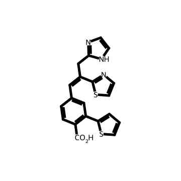 O=C(O)c1ccc(C=C(Cc2ncc[nH]2)c2nccs2)cc1-c1cccs1